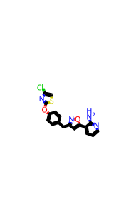 Nc1ncccc1-c1cc(Cc2ccc(Oc3nc(Cl)cs3)cc2)no1